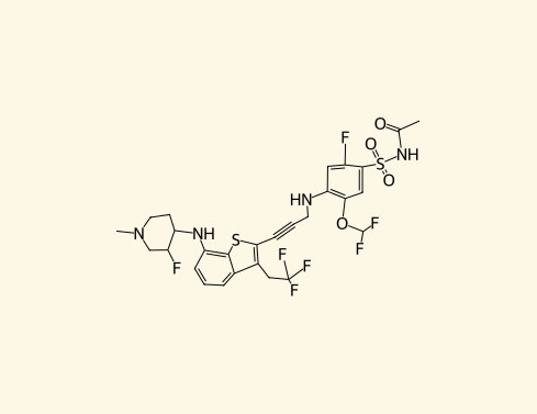 CC(=O)NS(=O)(=O)c1cc(OC(F)F)c(NCC#Cc2sc3c(NC4CCN(C)CC4F)cccc3c2CC(F)(F)F)cc1F